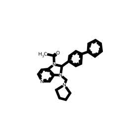 CC(=O)N1c2ccncc2N(CN2CCCC2)C1c1ccc(-c2ccccc2)cc1